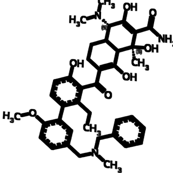 CCc1c(-c2cc(CN(C)Cc3ccccc3)ccc2OC)ccc(O)c1C(=O)C1=C(O)C2C(CC1)[C@H](N(C)C)C(O)=C(C(N)=O)[C@@]2(C)O